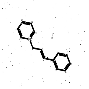 C(=Cc1ccccc1)C[n+]1ccccc1.[I-]